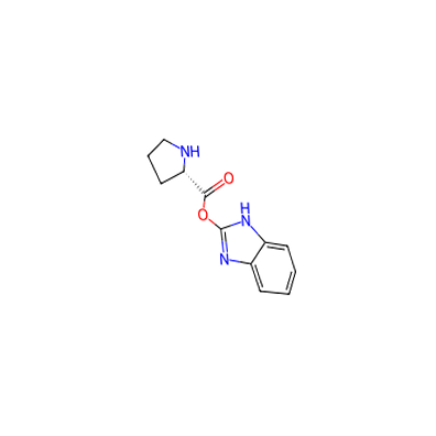 O=C(Oc1nc2ccccc2[nH]1)[C@@H]1CCCN1